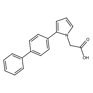 O=C(O)Cn1cccc1-c1ccc(-c2ccccc2)cc1